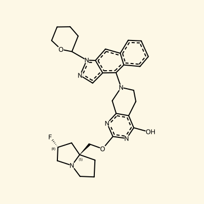 Oc1nc(OC[C@@]23CCCN2C[C@H](F)C3)nc2c1CCN(c1c3ccccc3cc3c1cnn3C1CCCCO1)C2